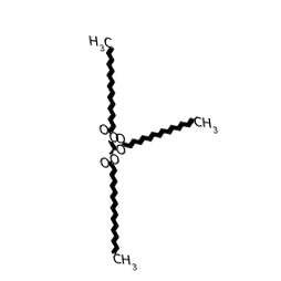 CCCCCCCCCCCCCCCCCC(=O)OC[C@@H](COC(=O)CCCCCCCCCCCCCCCC)OC(=O)CCCCCCCCCCCCCCC